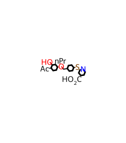 CCCc1c(OCc2ccc(Sc3cc(C(=O)O)ccn3)cc2)ccc(C(C)=O)c1O